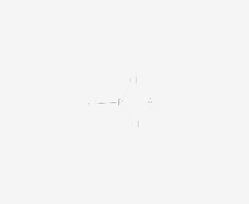 ClP(Cl)Cl.[Au]